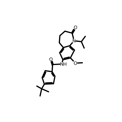 COc1cc2c(cc1NC(=O)c1ccc(C(C)(C)C)cc1)CCCC(=O)N2C(C)C